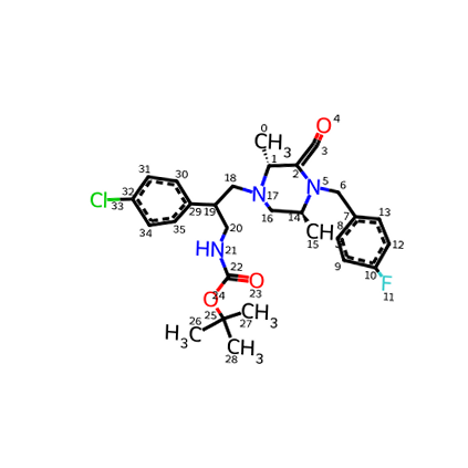 C[C@@H]1C(=C=O)N(Cc2ccc(F)cc2)[C@@H](C)CN1CC(CNC(=O)OC(C)(C)C)c1ccc(Cl)cc1